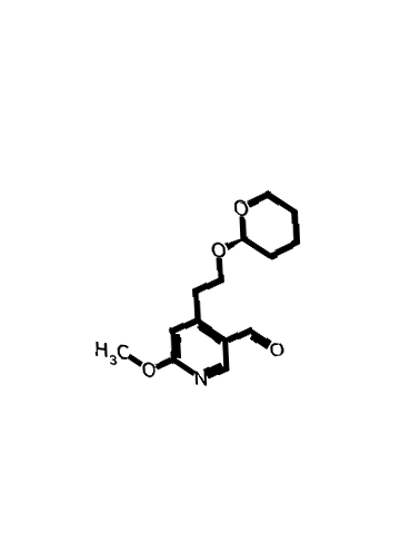 COc1cc(CCO[C@@H]2CCCCO2)c(C=O)cn1